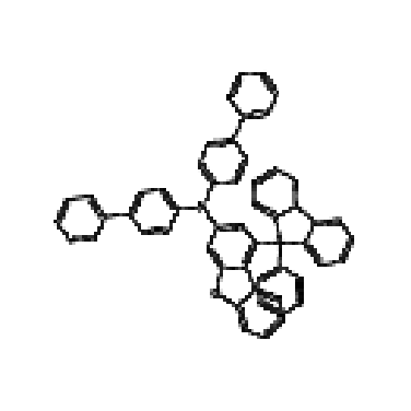 c1ccc(-c2ccc(N(c3ccc(-c4ccccc4)cc3)c3cc(C4(c5ccccc5)c5ccccc5-c5ccccc54)c4c(c3)oc3ccccc34)cc2)cc1